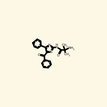 CC(C)(N)C(=O)Nc1nc(-c2ccccc2)c(C(=O)c2ccccc2)s1